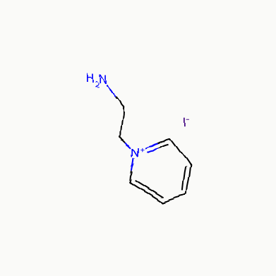 NCC[n+]1ccccc1.[I-]